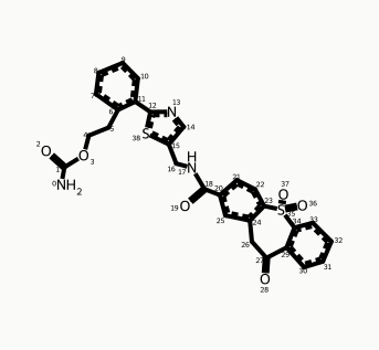 NC(=O)OCCc1ccccc1-c1ncc(CNC(=O)c2ccc3c(c2)CC(=O)c2ccccc2S3(=O)=O)s1